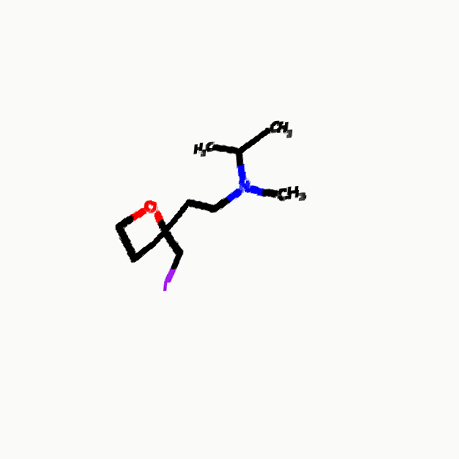 CC(C)N(C)CCC1(CI)CCO1